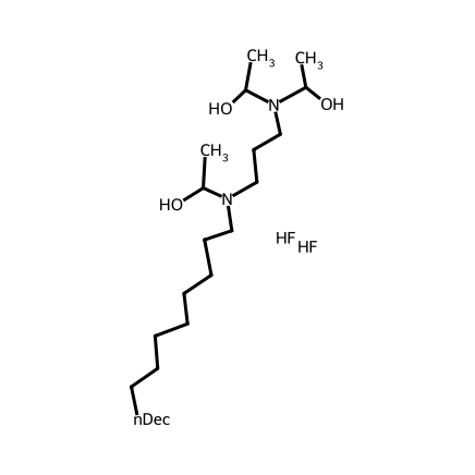 CCCCCCCCCCCCCCCCCCN(CCCN(C(C)O)C(C)O)C(C)O.F.F